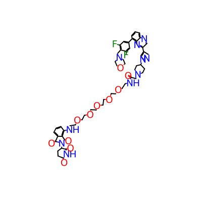 O=C(CN1CCC(n2cc(-c3cnc4cccc(-c5cc(F)c(CN6CCOCC6)c(F)c5)c4n3)cn2)CC1)NCCOCCOCCOCCOCCOCCNc1cccc2c1C(=O)N(C1CCC(=O)NC1=O)C2=O